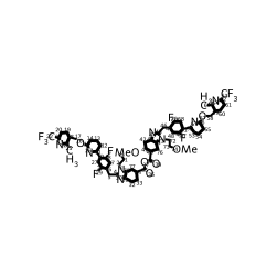 COCCn1c(Cc2cc(F)c(-c3cccc(OCc4ccc(C(F)(F)F)nc4C)n3)cc2F)nc2ccc(C(=O)OC(=O)c3ccc4nc(Cc5cc(F)c(-c6cccc(OCc7ccc(C(F)(F)F)nc7C)n6)cc5F)n(CCOC)c4c3)cc21